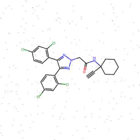 C#CC1(NC(=O)Cn2nc(-c3ccc(Cl)cc3Cl)c(-c3ccc(Cl)cc3Cl)n2)CCCCC1